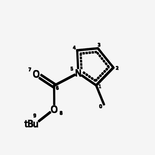 Cc1cccn1C(=O)OC(C)(C)C